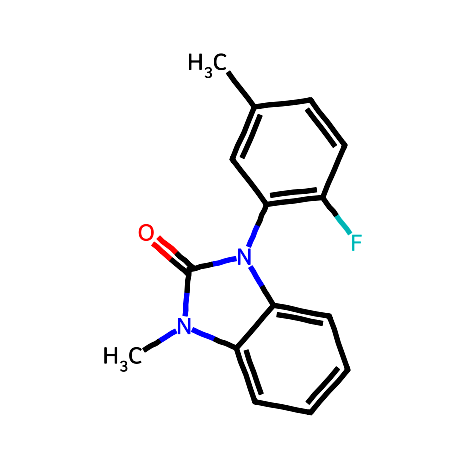 Cc1ccc(F)c(-n2c(=O)n(C)c3ccccc32)c1